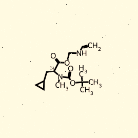 C=CNCOC(=O)[C@H](CC1CC1)N(C)C(=O)OC(C)(C)C